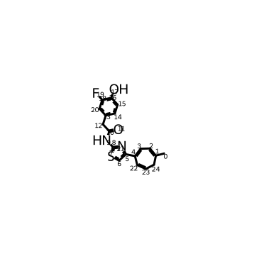 CC1=CC=C(c2csc(NC(=O)Cc3ccc(O)c(F)c3)n2)C=CC1